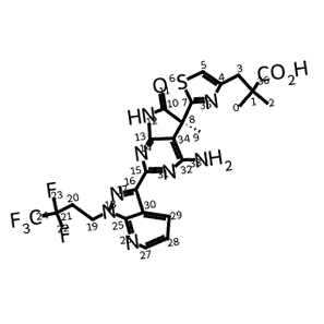 CC(C)(Cc1csc([C@]2(C)C(=O)Nc3nc(-c4nn(CCC(F)(F)C(F)(F)F)c5ncccc45)nc(N)c32)n1)C(=O)O